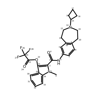 Cn1c(C(=O)Nc2ccc3c(c2)CCN(C2CCC2)CC3)c(OC(=O)C(F)(F)F)c2ccccc21